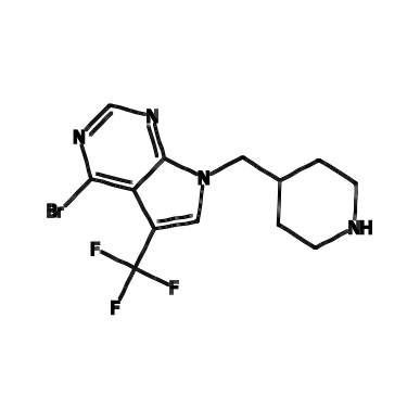 FC(F)(F)c1cn(CC2CCNCC2)c2ncnc(Br)c12